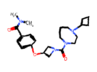 CN(C)C(=O)c1ccc(OC2CN(C(=O)N3CCCN(C4CCC4)CC3)C2)cc1